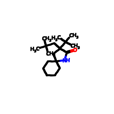 CC(C)(C)CC1(C(C)(C)C)CC2(CCCCC2)NC1=O